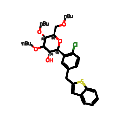 CCCCOC[C@H]1O[C@@H](c2cc(Cc3cc4ccccc4s3)ccc2Cl)[C@H](O)C(OCCCC)[C@@H]1OCCCC